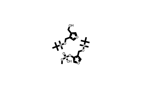 CC(C)(C)[Si](C)(C)OCc1cocc1CO.COP(=O)(O)Oc1cocc1CO[Si](C)(C)C(C)(C)C